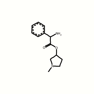 CN1CCC(OC(=O)C(N)c2ccccc2)C1